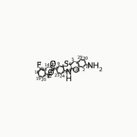 Nc1ccc(/C=C2/Sc3cc(S(=O)(=O)Cc4c(F)cccc4F)ccc3NC2=O)cc1